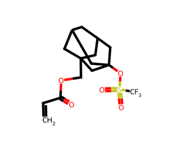 C=CC(=O)OCC12CC3CC(C1)CC(OS(=O)(=O)C(F)(F)F)(C3)C2